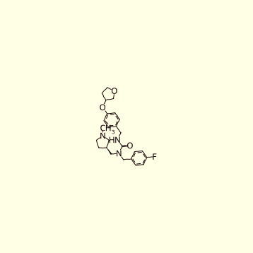 CN1CC[C@H](CN(Cc2ccc(F)cc2)C(=O)NCc2ccc(OC3CCOC3)cc2)C1